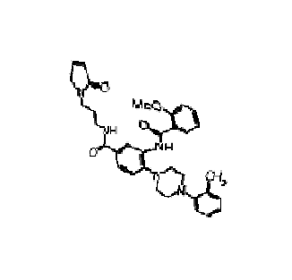 COc1ccccc1C(=O)Nc1cc(C(=O)NCCCN2CCCC2=O)ccc1N1CCN(c2ccccc2C)CC1